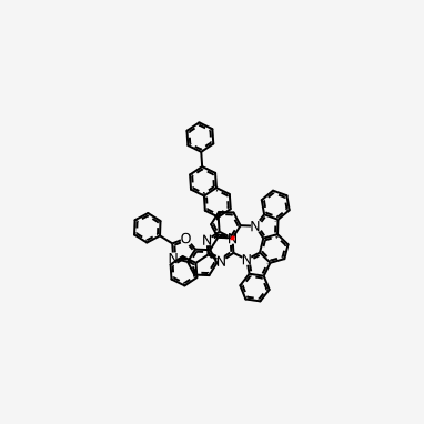 c1ccc(-c2ccc3cc(-c4nc(-c5ccccc5)nc(-n5c6ccccc6c6ccc7c8ccccc8n(-c8cccc(-c9cccc%10nc(-c%11ccccc%11)oc9%10)c8)c7c65)n4)ccc3c2)cc1